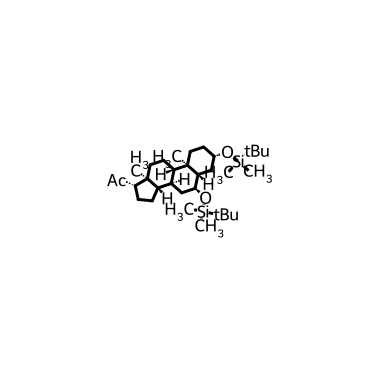 CC(=O)[C@H]1CC[C@H]2[C@@H]3C[C@H](O[Si](C)(C)C(C)(C)C)[C@H]4C[C@@H](O[Si](C)(C)C(C)(C)C)CC[C@]4(C)[C@H]3CC[C@]12C